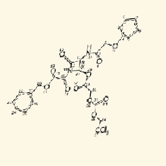 O=C(COc1ccccc1)N[C@@H]1C(=O)N(C(=O)C(=O)OCc2ccccc2)[C@@H]1OC(=O)COC(=O)OCC(Cl)(Cl)Cl